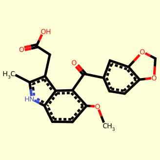 COc1ccc2[nH]c(C)c(CC(=O)O)c2c1C(=O)c1ccc2c(c1)OCO2